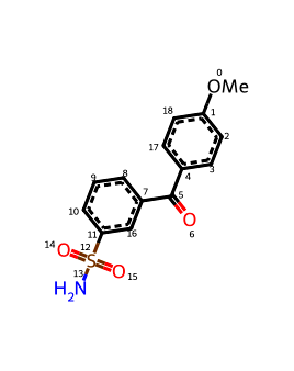 COc1ccc(C(=O)c2cccc(S(N)(=O)=O)c2)cc1